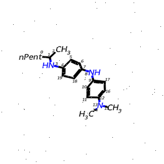 CCCCCC(C)Nc1ccc(Nc2ccc(N(C)C)cc2)cc1